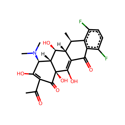 CC(=O)C1=C(O)[C@@H](N(C)C)[C@@H]2[C@@H](O)[C@H]3C(=C(O)[C@]2(O)C1=O)C(=O)c1c(F)ccc(F)c1[C@@H]3C